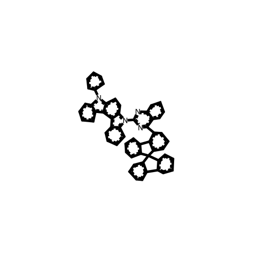 c1ccc(-n2c3ccccc3c3c4c5ccccc5n(-c5nc(-c6cccc7c6-c6ccccc6C76c7ccccc7-c7ccccc76)c6ccccc6n5)c4ccc32)cc1